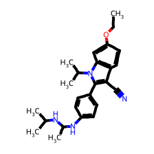 CCOc1ccc2c(C#N)c(-c3ccc(NC(C)NC(C)C)cc3)n(C(C)C)c2c1